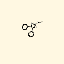 CCSc1nc(-c2ccccc2)c(-c2ccccc2)o1